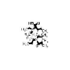 C=C(C)C(=O)N(C(C)CC)C(C)CC.CC/C=C(\C(=O)O)N(CC)CC